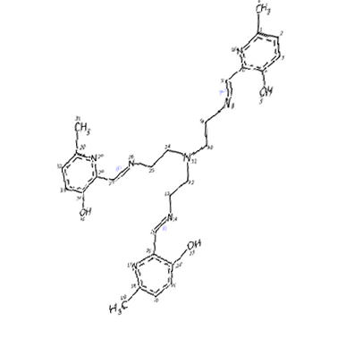 Cc1ccc(O)c(/C=N/CCN(CC/N=C/c2nc(C)ccc2O)CC/N=C/c2nc(C)ccc2O)n1